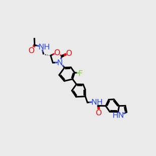 CC(=O)NC[C@H]1CN(c2ccc(-c3ccc(CNC(=O)c4ccc5cc[nH]c5c4)cc3)c(F)c2)C(=O)O1